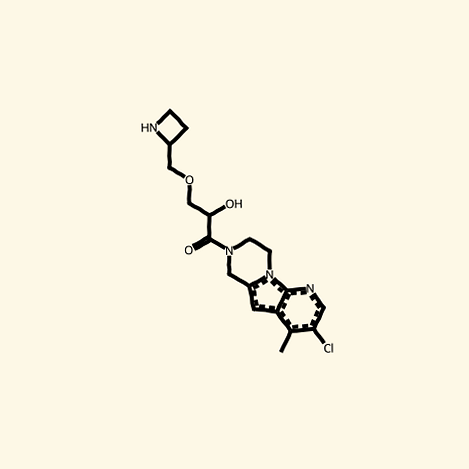 Cc1c(Cl)cnc2c1cc1n2CCN(C(=O)C(O)COCC2CCN2)C1